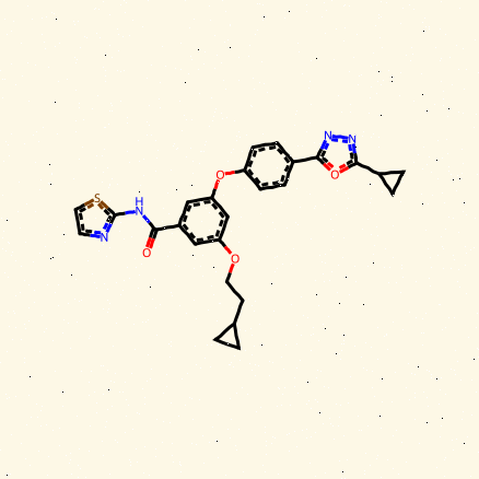 O=C(Nc1nccs1)c1cc(OCCC2CC2)cc(Oc2ccc(-c3nnc(C4CC4)o3)cc2)c1